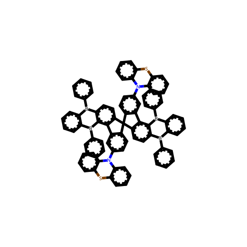 c1ccc(B2c3ccccc3B(c3ccccc3)c3c2ccc2c3-c3cc(N4c5ccccc5Sc5ccccc54)ccc3C23c2ccc(N4c5ccccc5Sc5ccccc54)cc2-c2c3ccc3c2B(c2ccccc2)c2ccccc2B3c2ccccc2)cc1